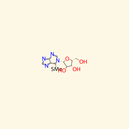 CSc1c2ncnc-2ncn1[C@@H]1O[C@H](CO)[C@H](O)[C@H]1O